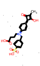 CC1=C(O)C(=C2C=CC(=[N+](CCCC(=O)O)Cc3ccc(S(=O)(=O)O)cc3)C=C2)C1=O